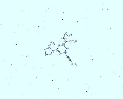 CC#CN1C=C(C2CCCN2C)C=C(/C(=C/C(=O)O)C(=O)O)C1